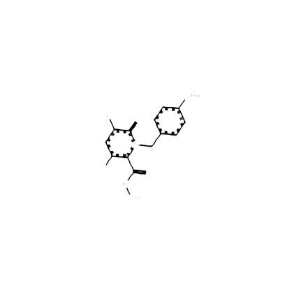 CONC(=O)c1c(C)cc(Br)c(=O)n1Cc1ccc(OC)cc1